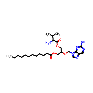 CCCCCCCCCCCC(=O)OCC(COC(=O)[C@@H](N)C(C)C)OCn1cnc2cnc(N)nc21